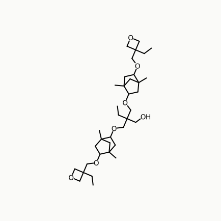 CCC1(COC2CC3(C)CC2(C)CC3OCC(CC)(CO)COC2CC3(C)CC2(C)CC3OCC2(CC)COC2)COC1